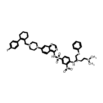 CN(C)CC[C@H](CSc1ccccc1)Nc1ccc(S(=O)(=O)Nc2ncnc3cc(N4CCN(CC5=C(c6ccc(F)cc6)CCCC5)CC4)ccc23)cc1[N+](=O)[O-]